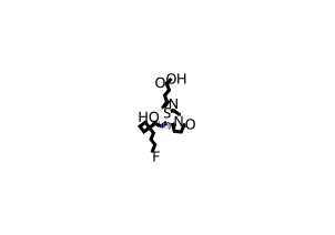 O=C(O)CCc1csc(CN2C(=O)CC[C@@H]2/C=C/[C@@H](O)C2(CCCCF)CCC2)n1